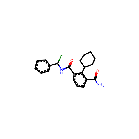 NC(=O)c1cccc(C(=O)NC(Cl)c2ccccc2)c1C1CCCCC1